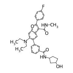 CCN(CC)c1cc2oc(-c3ccc(F)cc3)c(C(=O)NC)c2cc1-c1cccc(C(=O)NC2CCC(O)C2)c1